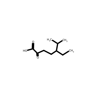 CCC(CCC(=O)C(=O)O)C(C)C